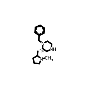 CN1CCCC1C[C@H]1CNCCN1Cc1ccccc1